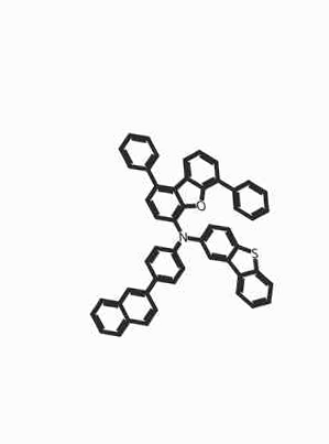 c1ccc(-c2cccc3c2oc2c(N(c4ccc(-c5ccc6ccccc6c5)cc4)c4ccc5sc6ccccc6c5c4)ccc(-c4ccccc4)c23)cc1